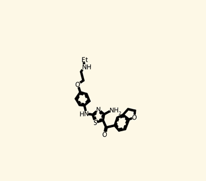 CCNCCOc1ccc(Nc2nc(N)c(C(=O)c3ccc4c(c3)CCO4)s2)cc1